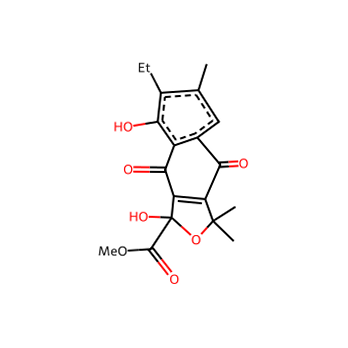 CCc1c(C)cc2c(c1O)C(=O)C1=C(C2=O)C(C)(C)OC1(O)C(=O)OC